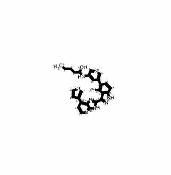 CCCCC(O)Nc1cncc(-c2ccc3[nH]nc(-c4nc5c(-c6ccoc6)ccnc5[nH]4)c3c2F)c1